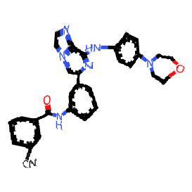 N#Cc1cccc(C(=O)Nc2cccc(-c3cn4ccnc4c(Nc4ccc(N5CCOCC5)cc4)n3)c2)c1